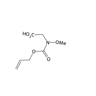 C=CCOC(=O)N(CC(=O)O)OC